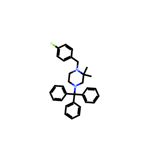 CC1(C)CN(C(c2ccccc2)(c2ccccc2)c2ccccc2)CCN1Cc1ccc(F)cc1